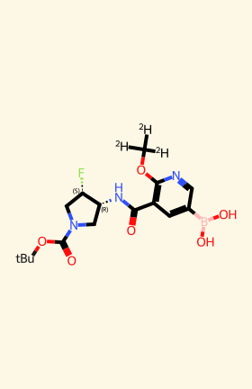 [2H]C([2H])([2H])Oc1ncc(B(O)O)cc1C(=O)N[C@@H]1CN(C(=O)OC(C)(C)C)C[C@@H]1F